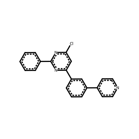 Clc1cc(-c2cccc(-c3ccncc3)c2)nc(-c2ccccc2)n1